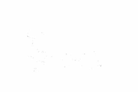 CC[C@@H](OC)n1cnc2c(N)nc(CCC3CCN(C(=O)OC4CNC4=O)CC3)nc21